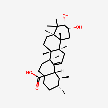 C[C@H]1[C@H](C)CC[C@]2(C(=O)O)CC[C@]3(C)C(=CC[C@@H]4[C@@]5(C)C[C@@H](O)[C@@H](O)C(C)(C)[C@]5(C)CC[C@]43C)[C@H]12